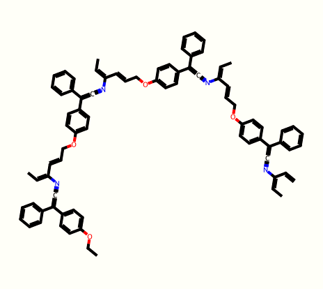 C=C/C(=C\C)N=C=C(c1ccccc1)c1ccc(OC/C=C/C(=C\C)N=C=C(c2ccccc2)c2ccc(OC/C=C/C(=C\C)N=C=C(c3ccccc3)c3ccc(OC/C=C/C(=C\C)N=C=C(c4ccccc4)c4ccc(OCC)cc4)cc3)cc2)cc1